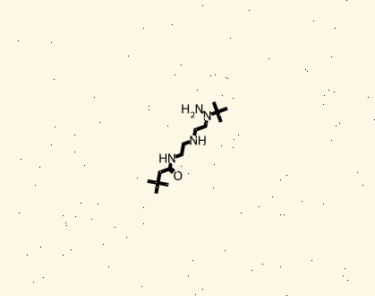 CC(C)(C)CC(=O)NCCNCCN(N)C(C)(C)C